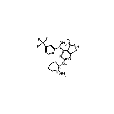 N[C@H]1CCCC[C@H]1Nc1nc2c(c(N(N)c3cccc(C(F)(F)F)c3)n1)C(=O)NC2